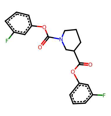 O=C(Oc1cccc(F)c1)C1CCCN(C(=O)Oc2cccc(F)c2)C1